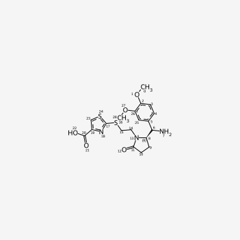 COc1ccc(C(N)[C@H]2CCC(=O)N2CCSc2nc(C(=O)O)cs2)cc1OC